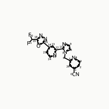 N#Cc1ccnc(Cn2ccnc2-c2cc(-c3nnc(C(F)F)o3)ccn2)c1